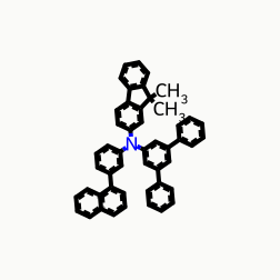 CC1(C)c2ccccc2-c2ccc(N(c3cc(-c4ccccc4)cc(-c4ccccc4)c3)c3cccc(-c4cccc5ccccc45)c3)cc21